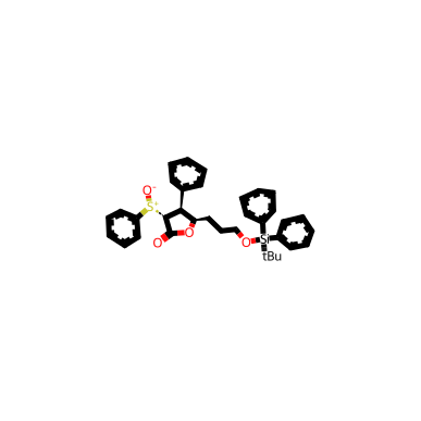 CC(C)(C)[Si](OCCC[C@H]1OC(=O)[C@H]([S+]([O-])c2ccccc2)[C@H]1c1ccccc1)(c1ccccc1)c1ccccc1